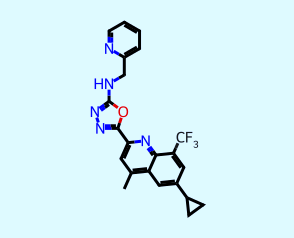 Cc1cc(-c2nnc(NCc3ccccn3)o2)nc2c(C(F)(F)F)cc(C3CC3)cc12